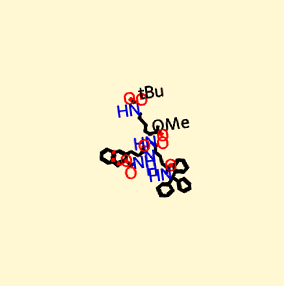 COC(=O)C(CCCCNC(=O)OC(C)(C)C)NC(=O)C(CCC(=O)NC(c1ccccc1)(c1ccccc1)c1ccccc1)NC(=O)C(Cc1ccccc1)NC(=O)OCc1ccccc1